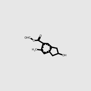 Cc1cc2c(cc1C(=O)OC=O)CC(O)C2